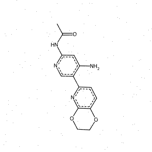 CC(=O)Nc1cc(N)c(-c2ccc3c(n2)OCCO3)cn1